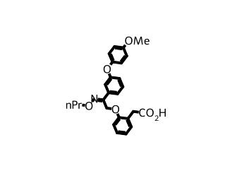 CCCO/N=C(\COc1ccccc1CC(=O)O)c1cccc(Oc2ccc(OC)cc2)c1